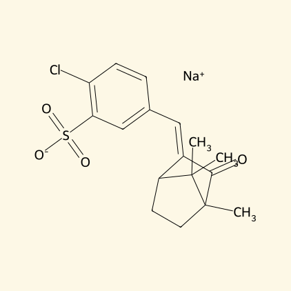 CC12CCC(C(=Cc3ccc(Cl)c(S(=O)(=O)[O-])c3)C1=O)C2(C)C.[Na+]